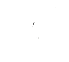 C=N[C@H](COC(N)=O)Cc1ccccc1